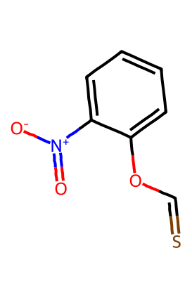 O=[N+]([O-])c1ccccc1OC=S